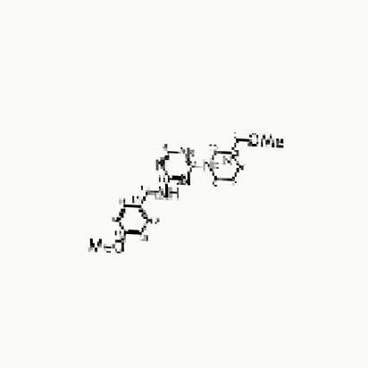 COC[C@H]1CCCN(c2ncnc(NCc3ccc(OC)cc3)n2)C1